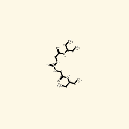 O=C(CO[PH](=O)OCC(=O)OC(CC(F)(F)F)CC(F)(F)F)OC(CC(F)(F)F)CC(F)(F)F